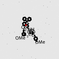 COc1ccc(COC(=O)N2C[C@@H](SC(c3ccccc3)(c3ccccc3)c3ccccc3)C[C@H]2CNS(=O)(=O)N(C)C(=O)OCc2ccc(OC)cc2)cc1